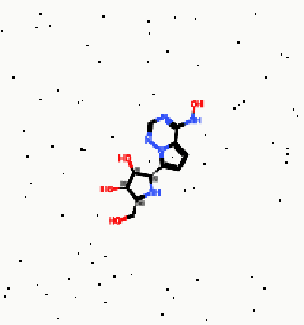 OC[C@H]1N[C@@H](c2ccc3c(NO)ncnn23)[C@H](O)[C@@H]1O